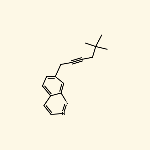 CC(C)(C)CC#CCc1ccc2ccnnc2c1